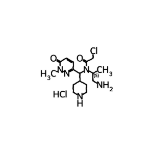 C[C@@H](CN)N(C(=O)CCl)C(c1ccc(=O)n(C)n1)C1CCNCC1.Cl